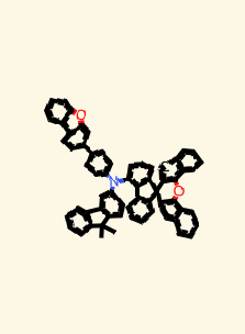 CC1(C)c2ccccc2-c2cc(N(c3ccc(-c4ccc5c(c4)oc4ccccc45)cc3)c3cccc4c3-c3ccccc3C43c4ccc5ccccc5c4Oc4c3ccc3ccccc43)ccc21